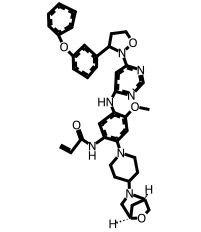 C=CC(=O)Nc1cc(Nc2cc(N3OCCC3c3cccc(Oc4ccccc4)c3)ncn2)c(OC)cc1N1CCC(N2C[C@H]3C[C@@H]2CO3)CC1